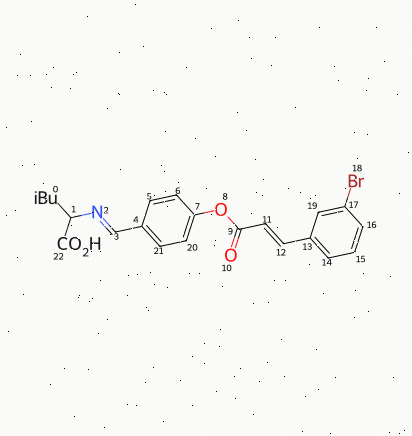 CCC(C)C(/N=C/c1ccc(OC(=O)/C=C/c2cccc(Br)c2)cc1)C(=O)O